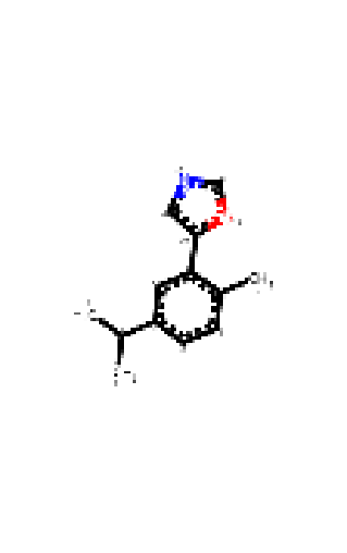 Cc1ccc(C(C)C)cc1-c1cnco1